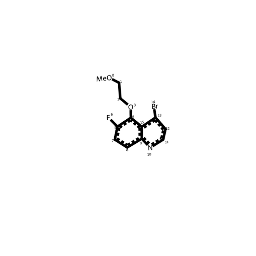 COCCOc1c(F)ccc2nccc(Br)c12